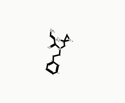 C/C=C/C(=O)N(CCc1ccccc1)CC1(C)CO1